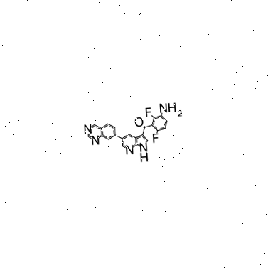 Nc1ccc(F)c(C(=O)c2c[nH]c3ncc(-c4ccc5cncnc5c4)cc23)c1F